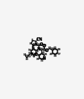 N#C[C@H]1CCCN1C(=O)N(c1ccc(C2CC2)cc1F)C(C(=O)OCc1ccccc1)c1cnccc1C(F)(F)F